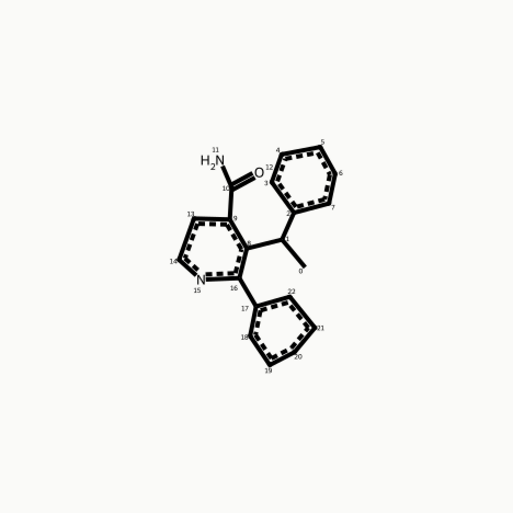 CC(c1ccccc1)c1c(C(N)=O)ccnc1-c1ccccc1